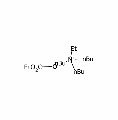 CCCC[N+](CC)(CCCC)CCCC.CCOC(=O)[O-]